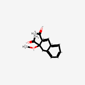 COC1(C(C)=O)Cc2ccccc2C=C1C(C)=O